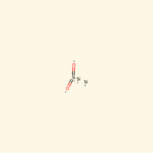 O=[Si]=O.[Si].[Si]